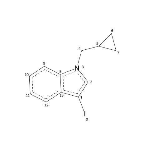 Ic1cn(CC2CC2)c2ccccc12